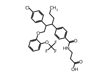 CCCC(c1ccc(C(=O)NCCC(=O)O)cc1)C(COc1ccccc1OC(F)(F)F)c1ccc(Cl)cc1